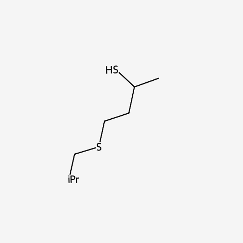 CC(C)CSCCC(C)S